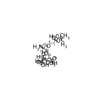 CC(C)(C)OC(=O)CCOCC(N)(COCCC(=O)O)COCC(C(=O)O)C(C)(C)C